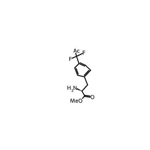 COC(=O)[C@@H](N)Cc1ccc(C(F)(F)C(C)=O)cc1